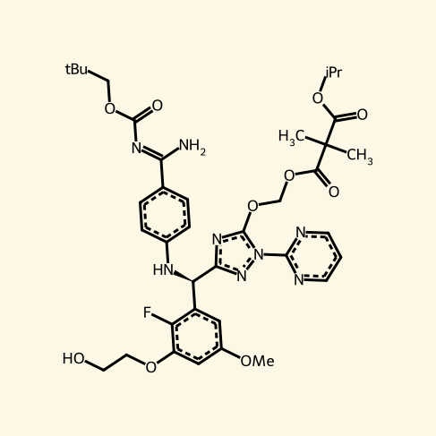 COc1cc(OCCO)c(F)c([C@@H](Nc2ccc(/C(N)=N/C(=O)OCC(C)(C)C)cc2)c2nc(OCOC(=O)C(C)(C)C(=O)OC(C)C)n(-c3ncccn3)n2)c1